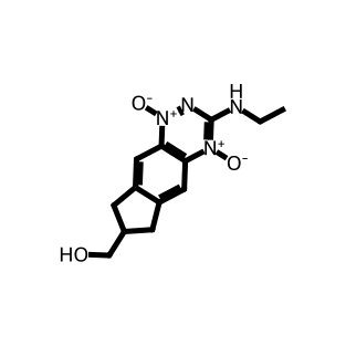 CCNc1n[n+]([O-])c2cc3c(cc2[n+]1[O-])CC(CO)C3